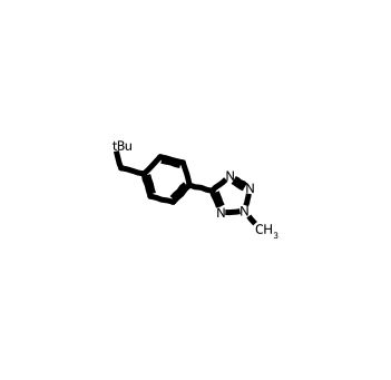 Cn1nnc(-c2ccc(CC(C)(C)C)cc2)n1